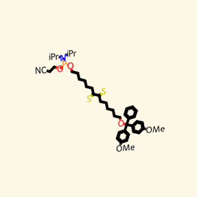 COc1ccc(C(OCCCCCCC(=S)C(=S)CCCCCCOP(OCCC#N)N(C(C)C)C(C)C)(c2ccccc2)c2ccc(OC)cc2)cc1